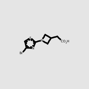 O=C(O)CC1CN(c2nc(Br)cs2)C1